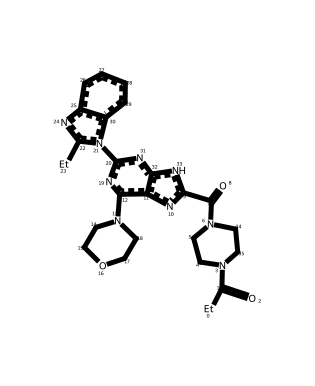 CCC(=O)N1CCN(C(=O)c2nc3c(N4CCOCC4)nc(-n4c(CC)nc5ccccc54)nc3[nH]2)CC1